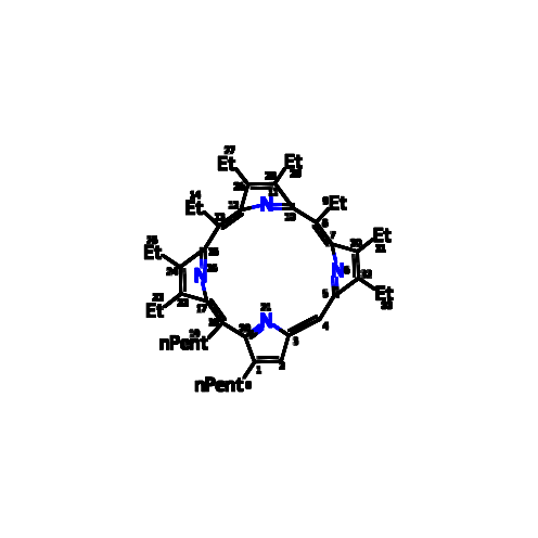 CCCCCC1=CC2=CC3=NC(=C(CC)C4=NC(=C(CC)C5=NC(=C(CCCCC)C1=N2)C(CC)=C5CC)C(CC)=C4CC)C(CC)=C3CC